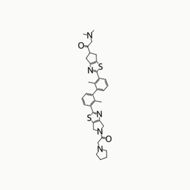 Cc1c(-c2nc3c(s2)CC(C(=O)CN(C)C)C3)cccc1-c1cccc(-c2nc3c(s2)CN(C(=O)CN2CCCC2)C3)c1C